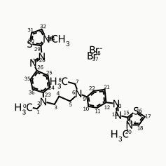 CCN(CCCN(CC)c1ccc(N=Nc2scc[n+]2C)cc1)c1ccc(N=Nc2scc[n+]2C)cc1.[Br-].[Br-]